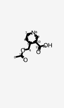 CC(=O)OCc1ccncc1C(=O)O